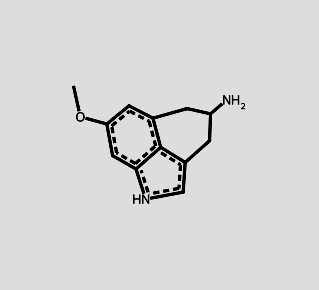 COc1cc2c3c(c[nH]c3c1)CC(N)C2